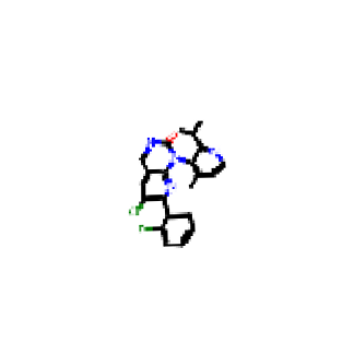 Cc1ccnc(C(C)C)c1-n1c(=O)ncc2cc(Cl)c(-c3ccccc3F)nc21